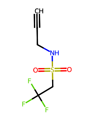 C#CCNS(=O)(=O)CC(F)(F)F